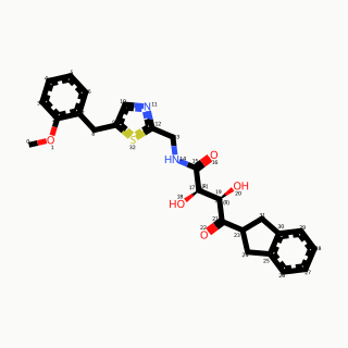 COc1ccccc1Cc1cnc(CNC(=O)[C@H](O)[C@@H](O)C(=O)C2Cc3ccccc3C2)s1